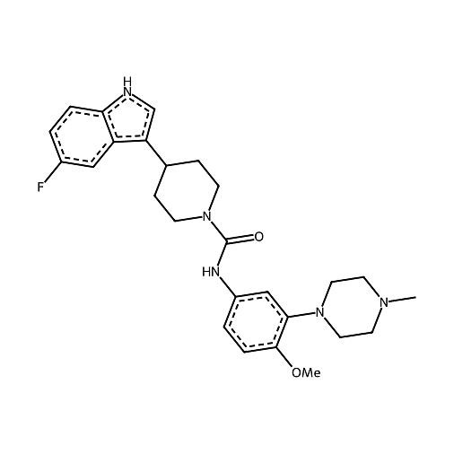 COc1ccc(NC(=O)N2CCC(c3c[nH]c4ccc(F)cc34)CC2)cc1N1CCN(C)CC1